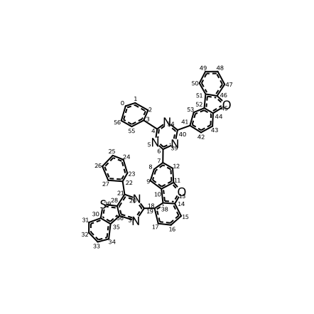 c1ccc(-c2nc(-c3ccc4c(c3)oc3cccc(-c5nc(-c6ccccc6)c6sc7ccccc7c6n5)c34)nc(-c3ccc4oc5ccccc5c4c3)n2)cc1